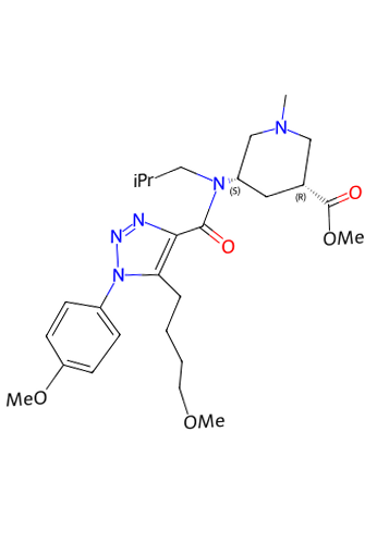 COCCCCc1c(C(=O)N(CC(C)C)[C@H]2C[C@@H](C(=O)OC)CN(C)C2)nnn1-c1ccc(OC)cc1